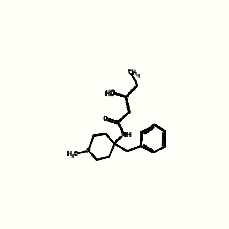 CCC(O)CC(=O)NC1(Cc2ccccc2)CCN(C)CC1